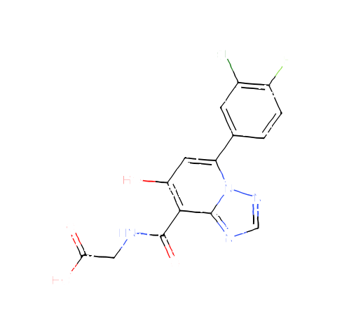 O=C(O)CNC(=O)c1c(O)cc(-c2ccc(F)c(Cl)c2)n2ncnc12